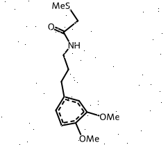 COc1ccc(CCCNC(=O)CSC)cc1OC